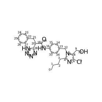 CCCCc1nc(Cl)c(CO)n1Cc1ccc(NC(=O)C(Cc2ccccc2)c2nnn[nH]2)cc1